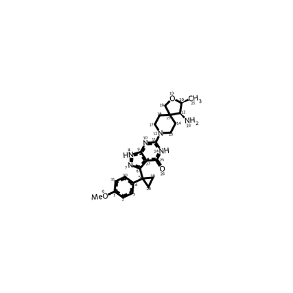 COc1ccc(C2(c3n[nH]c4nc(N5CCC6(CC5)CO[C@@H](C)[C@H]6N)[nH]c(=O)c34)CC2)cc1